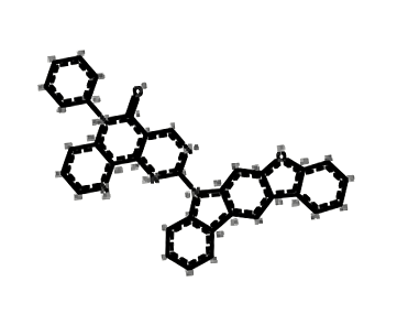 O=c1c2cnc(-n3c4ccccc4c4cc5c(cc43)oc3ccccc35)nc2c2ncccc2n1-c1ccccc1